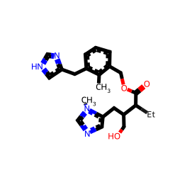 CCC(C(=O)OCc1cccc(Cc2c[nH]cn2)c1C)C(CO)Cc1cncn1C